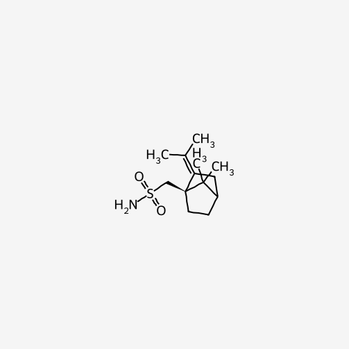 CC(C)=C1CC2CC[C@@]1(CS(N)(=O)=O)C2(C)C